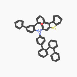 c1ccc(-c2ccc(N(c3ccc(-c4ccccc4-c4ccccc4-c4ccccc4)cc3)c3ccc4c(c3)sc3ccccc34)c(-c3ccccc3)c2)cc1